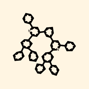 c1ccc(-c2cc(-c3cccc(-c4cc(-c5ccccc5)nc(-c5ccc(-c6ccccc6)c(-c6ccccc6)c5)c4)c3)cc(-c3ccc(-c4ccccc4)c(-c4ccccc4)c3)n2)cc1